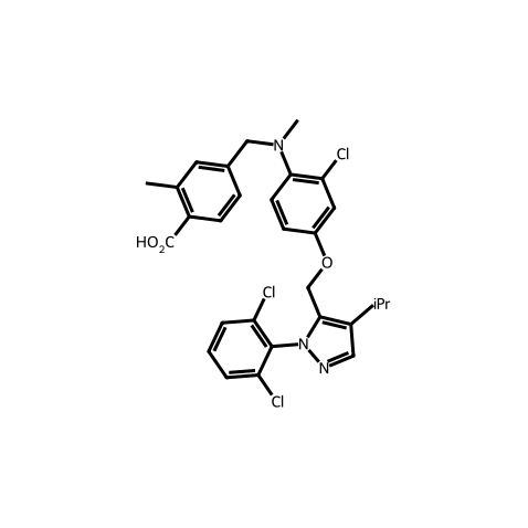 Cc1cc(CN(C)c2ccc(OCc3c(C(C)C)cnn3-c3c(Cl)cccc3Cl)cc2Cl)ccc1C(=O)O